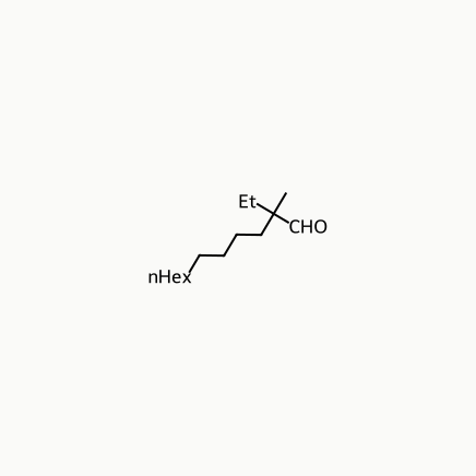 CCCCCCCCCCC(C)(C=O)CC